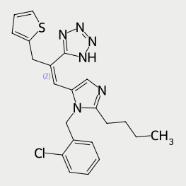 CCCCc1ncc(/C=C(/Cc2cccs2)c2nnn[nH]2)n1Cc1ccccc1Cl